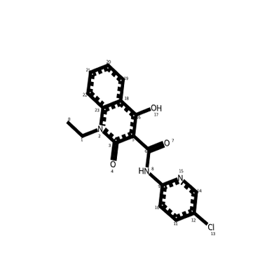 CCn1c(=O)c(C(=O)Nc2ccc(Cl)cn2)c(O)c2ccccc21